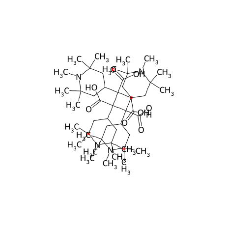 CN1C(C)(C)CC(C(CC(=O)O)(C(=O)O)C(C(=O)O)(C2CC(C)(C)N(C)C(C)(C)C2)C(C(=O)O)(C2CC(C)(C)N(C)C(C)(C)C2)C2CC(C)(C)N(C)C(C)(C)C2)CC1(C)C